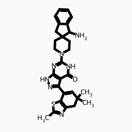 Cc1nc2c(s1)C(c1n[nH]c3nc(N4CCC5(CC4)Cc4ccccc4C5N)[nH]c(=O)c13)=CC(C)(C)C2